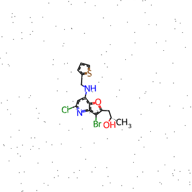 C[C@H](O)Cc1oc2c(NCc3cccs3)cc(Cl)nc2c1Br